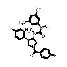 CN(C(=O)N(C)[C@@H]1CN(C(=O)c2ccc(F)cc2)C[C@H]1c1ccc(F)cc1)c1cc(C(F)(F)F)cc(C(F)(F)F)c1